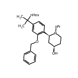 CCCCCCC(C)(C)c1ccc([C@@H]2C[C@H](O)CCN2CCC)c(OCc2ccccc2)c1